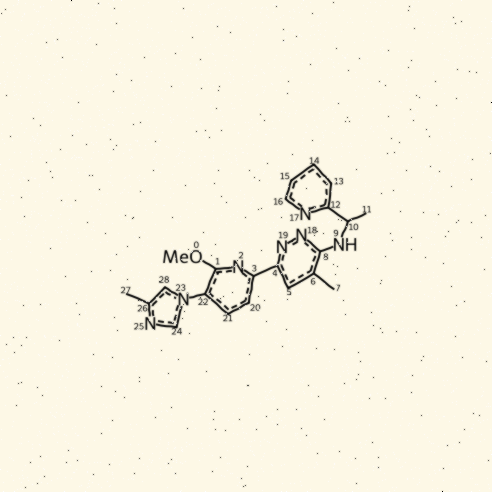 COc1nc(-c2cc(C)c(NC(C)c3ccccn3)nn2)ccc1-n1cnc(C)c1